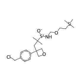 CC(C)(CC1(c2ccc(CCl)cc2)COC1)[S+]([O-])NCOCC[Si](C)(C)C